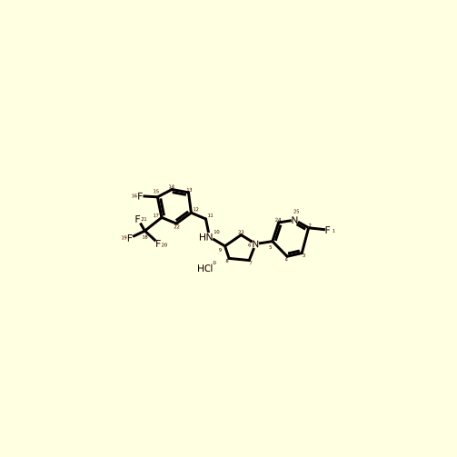 Cl.Fc1ccc(N2CCC(NCc3ccc(F)c(C(F)(F)F)c3)C2)cn1